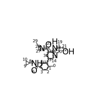 Cc1ccc(C(=O)NC2CC2)cc1-c1cnc(NC(C)(C)CO)c(C(=O)N2CC2C)c1